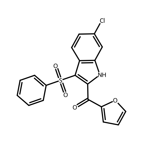 O=C(c1ccco1)c1[nH]c2cc(Cl)ccc2c1S(=O)(=O)c1ccccc1